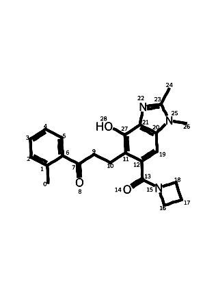 Cc1ccccc1C(=O)CCc1c(C(=O)N2CCC2)cc2c(nc(C)n2C)c1O